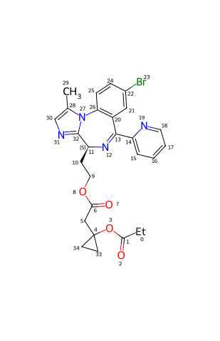 CCC(=O)OC1(CC(=O)OCC[C@@H]2N=C(c3ccccn3)c3cc(Br)ccc3-n3c(C)cnc32)CC1